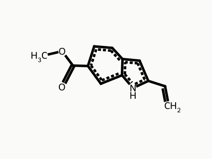 C=Cc1cc2ccc(C(=O)OC)cc2[nH]1